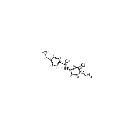 CCc1ccc(C(=O)Nc2cc[n+](C)c(Cl)c2)cc1